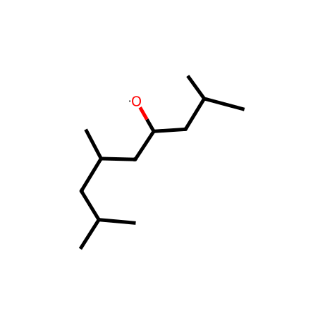 CC(C)CC(C)CC([O])CC(C)C